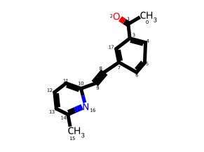 CC(=O)c1cccc(C#Cc2cccc(C)n2)c1